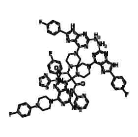 Nc1nc(N2CCN(C(C(=O)Nc3nccs3)C(C(=O)Nc3ccccn3)(N3CCN(c4nc(N)nc5[nH]c(-c6ccc(F)cc6)nc45)CC3)n3c(-c4ccc(F)cc4)nc4c(N5CCN(c6ccc(F)cc6)CC5)nc(N)nc43)CC2)c2nc(-c3ccc(F)cc3)[nH]c2n1